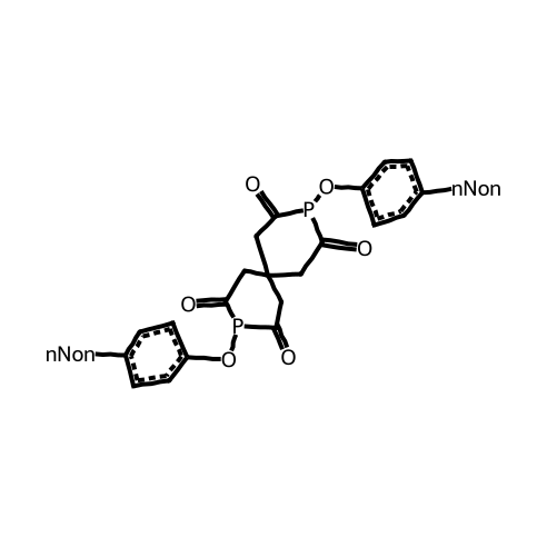 CCCCCCCCCc1ccc(OP2C(=O)CC3(CC2=O)CC(=O)P(Oc2ccc(CCCCCCCCC)cc2)C(=O)C3)cc1